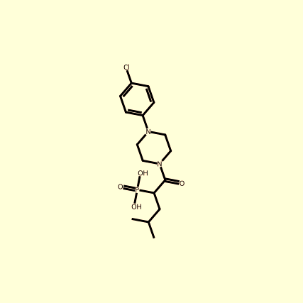 CC(C)CC(C(=O)N1CCN(c2ccc(Cl)cc2)CC1)P(=O)(O)O